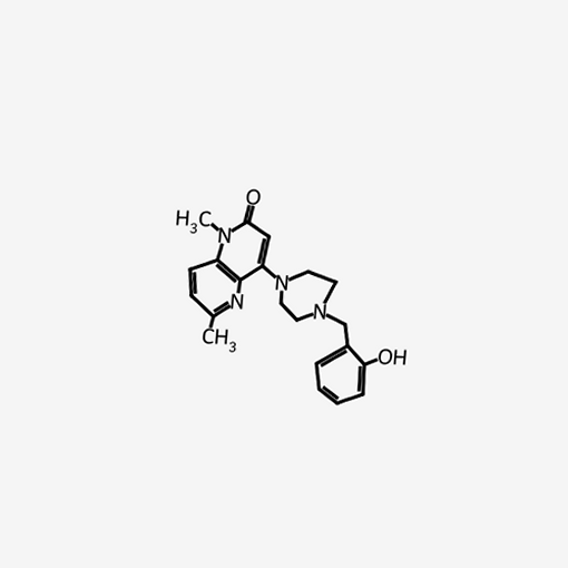 Cc1ccc2c(n1)c(N1CCN(Cc3ccccc3O)CC1)cc(=O)n2C